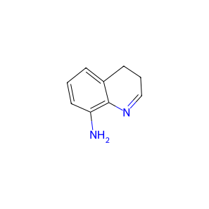 Nc1cccc2c1N=CCC2